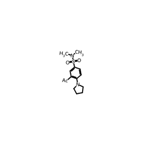 CC(=O)c1cc(S(=O)(=O)N(C)C)ccc1N1CCCC1